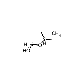 C.C[SiH](C)O[SiH2]O